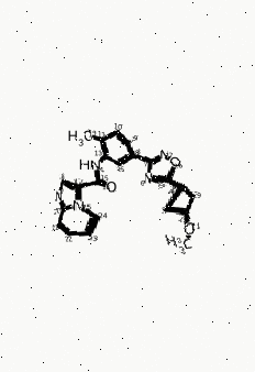 COC1CC(c2nc(-c3ccc(C)c(NC(=O)c4cnc5ccccn45)c3)no2)C1